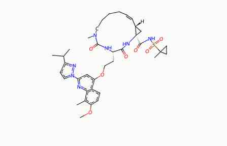 COc1ccc2c(OCC[C@@H]3NC(=O)N(C)CCCC/C=C\[C@@H]4C[C@@]4(C(=O)NS(=O)(=O)C4(C)CC4)NC3=O)cc(-n3ccc(C(C)C)n3)nc2c1C